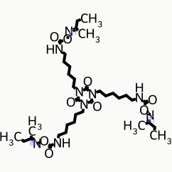 CC/C(C)=N/OC(=O)NCCCCCCn1c(=O)n(CCCCCCNC(=O)O/N=C(\C)CC)c(=O)n(CCCCCCNC(=O)O/N=C(\C)CC)c1=O